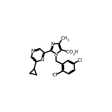 Cc1nc(-c2cncc(C3CC3)n2)n(Cc2cc(Cl)ccc2Cl)c1C(=O)O